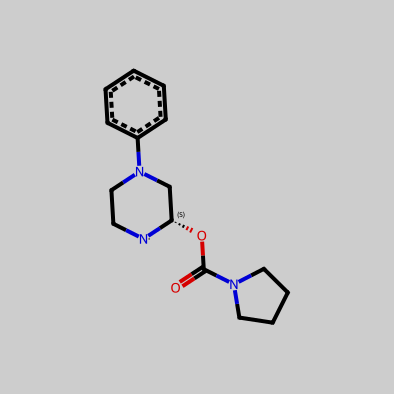 O=C(O[C@H]1CN(c2ccccc2)CC[N]1)N1CCCC1